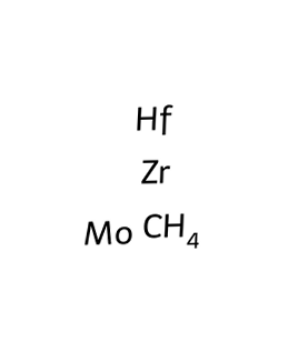 C.[Hf].[Mo].[Zr]